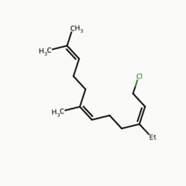 CCC(=CCCl)CCC=C(C)CCC=C(C)C